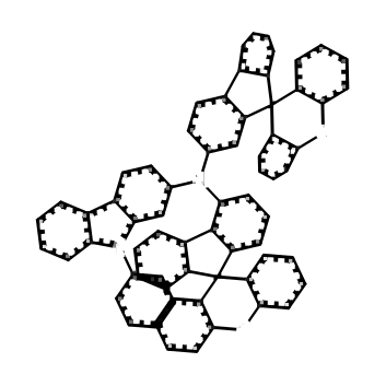 c1ccc(-n2c3ccccc3c3ccc(N(c4ccc5c(c4)C4(c6ccccc6Sc6ccccc64)c4ccccc4-5)c4cccc5c4-c4ccccc4C54c5ccccc5Sc5ccccc54)cc32)cc1